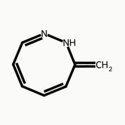 C=C1C=CC=CC=NN1